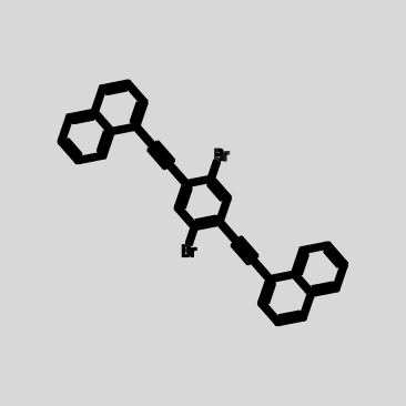 Brc1cc(C#Cc2cccc3ccccc23)c(Br)cc1C#Cc1cccc2ccccc12